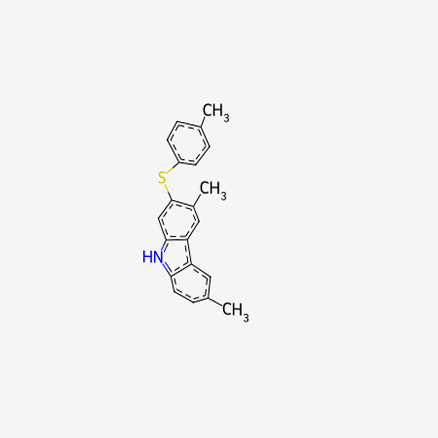 Cc1ccc(Sc2cc3[nH]c4ccc(C)cc4c3cc2C)cc1